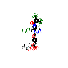 CCO[C@@H](Cc1ccc(OCCN[C@H]2[C@@H]3CN(C(=O)c4cc(C(F)(F)F)cc(C(F)(F)F)c4)C[C@@H]32)cc1)C(=O)O.Cl